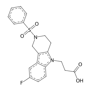 O=C(O)CCn1c2c(c3cc(F)ccc31)CN(S(=O)(=O)c1ccccc1)CC2